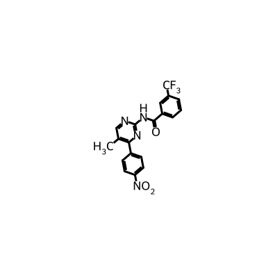 Cc1cnc(NC(=O)c2cccc(C(F)(F)F)c2)nc1-c1ccc([N+](=O)[O-])cc1